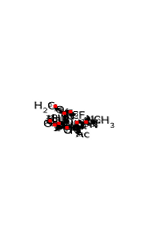 C=CCOCc1ccc(C(F)(F)F)nc1NC(=O)[C@@H]1C[C@@]2(CNC(=O)C(C)(C)C)CC2N1C(=O)Cn1nc(C(C)=O)c2cc(-c3cnc(C)nc3)ccc21